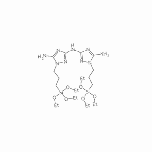 CCO[Si](CCCn1nc(Nc2nc(N)n(CCC[Si](OCC)(OCC)OCC)n2)nc1N)(OCC)OCC